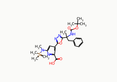 C=S(=C)(C)N(C)c1cc(-c2nnc(C(C)(Cc3ccccc3)NC(=O)OC(C)(C)C)o2)cc(C(=O)O)n1